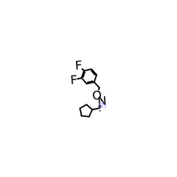 Fc1ccc(CO/N=[C]\C2CCCC2)cc1F